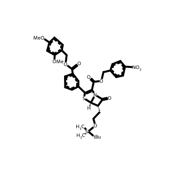 COc1ccc(COC(=O)c2cccc(C3=C(C(=O)OCc4ccc([N+](=O)[O-])cc4)N4C(=O)[C@H](CCO[Si](C)(C)C(C)(C)C)[C@H]4S3)c2)c(OC)c1